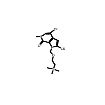 Cn1cc(Br)c2cc(C#N)n(COCC[Si](C)(C)C)c2c1=O